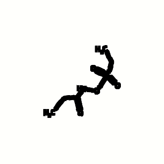 CCC(=O)NOS(=O)(=O)CC